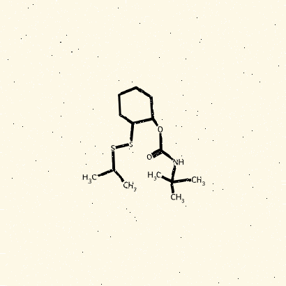 CC(C)SSC1CCCCC1OC(=O)NC(C)(C)C